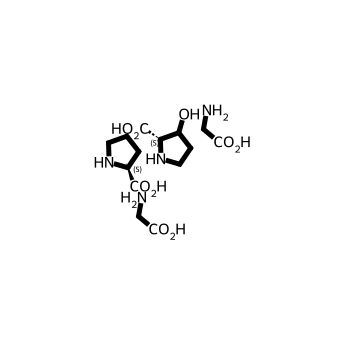 NCC(=O)O.NCC(=O)O.O=C(O)[C@@H]1CCCN1.O=C(O)[C@H]1NCCC1O